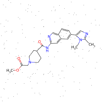 COC(=O)CN1CCC(C(=O)Nc2cc3cc(-c4cnc(C)n4C)ccc3cn2)CC1